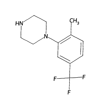 Cc1ccc(C(F)(F)F)cc1N1CCNCC1